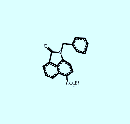 CCOC(=O)c1ccc2c3c(cccc13)C(=O)N2Cc1ccccc1